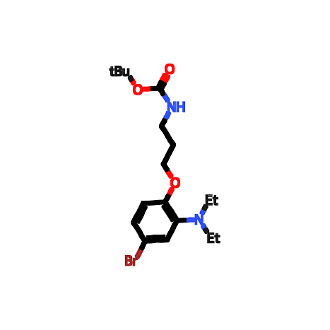 CCN(CC)c1cc(Br)ccc1OCCCNC(=O)OC(C)(C)C